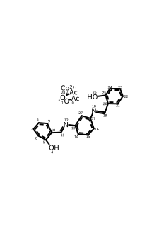 CC(=O)[O-].CC(=O)[O-].Oc1ccccc1C=Nc1cccc(N=Cc2ccccc2O)c1.[Co+2]